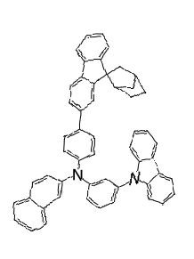 c1cc(N(c2ccc(-c3ccc4c(c3)C3(CC5CCC3C5)c3ccccc3-4)cc2)c2ccc3ccccc3c2)cc(-n2c3ccccc3c3ccccc32)c1